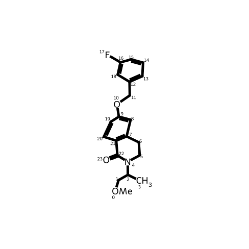 COCC(C)N1CCc2cc(OCc3cccc(F)c3)ccc2C1=O